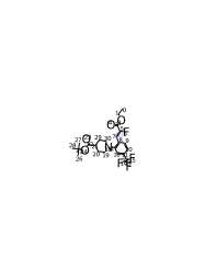 CCOC(=O)/C(F)=C/c1ccc(C(F)(F)F)cc1N1CCC(C(=O)OC(C)(C)C)CC1